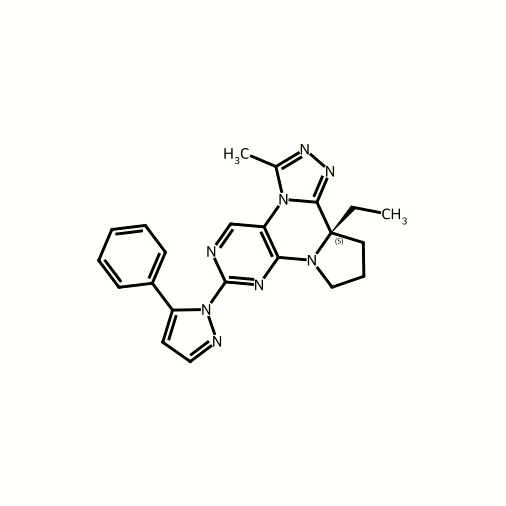 CC[C@@]12CCCN1c1nc(-n3nccc3-c3ccccc3)ncc1-n1c(C)nnc12